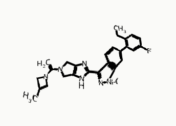 C=C(N1Cc2nc(-c3n[nH]c4cc(-c5cc(F)ccc5CC)ccc34)[nH]c2C1)N1CC(C)C1